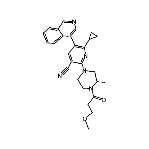 COCCC(=O)N1CCN(c2nc(C3CC3)c(-c3cncc4ccccc34)cc2C#N)CC1C